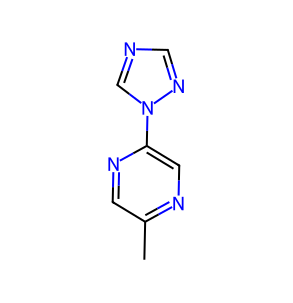 Cc1cnc(-n2cncn2)cn1